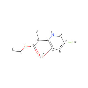 CCOC(=O)C(C)c1ncc(F)cc1Br